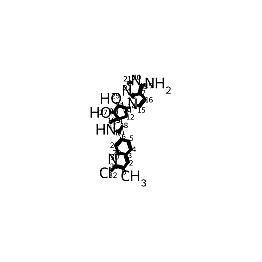 Cc1cc2ccc([C@H]3C[C@@]4(CN3)C[C@@H](n3ccc5c(N)ncnc53)[C@H](O)[C@@H]4O)cc2nc1Cl